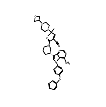 CC(C)(/C=C(/C#N)C(=O)N1CCC[C@@H](c2cn(-c3ccc(Oc4ccccc4)cc3)c3c(N)ncnc23)C1)N1CCN(C2COC2)CC1